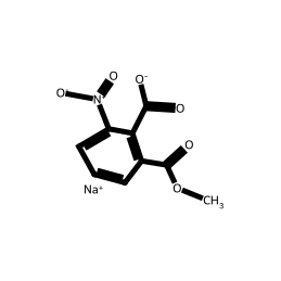 COC(=O)c1cccc([N+](=O)[O-])c1C(=O)[O-].[Na+]